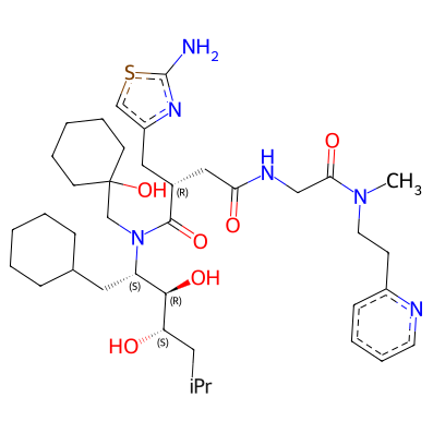 CC(C)C[C@H](O)[C@H](O)[C@H](CC1CCCCC1)N(CC1(O)CCCCC1)C(=O)[C@@H](CC(=O)NCC(=O)N(C)CCc1ccccn1)Cc1csc(N)n1